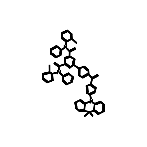 C=C(c1ccc(-c2cc(C(=C)N(c3ccccc3)c3ccccc3C)cc(C(=C)N(c3ccccc3)c3ccccc3C)c2)cc1)c1ccc(N2c3ccccc3C(C)(C)c3ccccc32)cc1